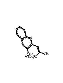 N#CC(=Cc1nc2ccccc2cc1O)C(=O)O